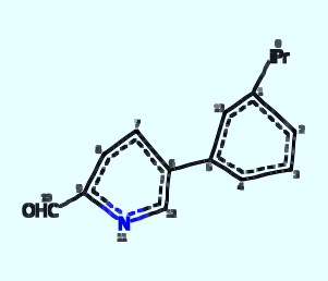 CC(C)c1cccc(-c2ccc(C=O)nc2)c1